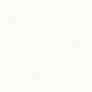 C=CC[C@]1(C(=O)OCC)CCC(C)C(=O)O1